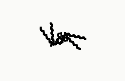 CCCCCCCC[N+](C)(CCCCCCCC)CC1=CC(Cl)C(Cl)(C[N+](C)(CCCCCCCC)CCCCCCCC)C=C1